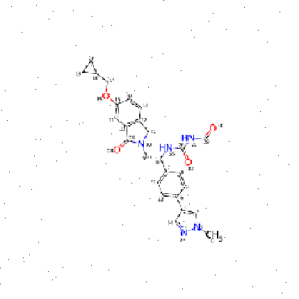 Cn1cc(-c2ccc([C@H](CN3Cc4ccc(OCC5CC5)cc4C3=O)NC(=O)NC=O)cc2)cn1